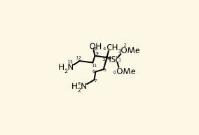 CO[SiH](OC)C(C)(CCCN)C(O)CCN